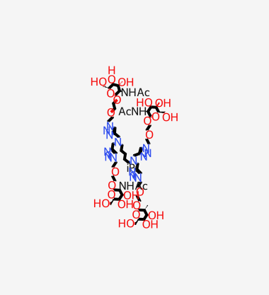 CC(=O)N[C@H]1[C@H](OCCOCCn2cc(CN(CCCCC(C(C)C)N(Cc3cn(CCOCCO[C@@H]4O[C@H](CO)[C@H](O)[C@H](O)[C@H]4C)nn3)Cc3cn(CCOCCO[C@@H]4O[C@H](CO)[C@H](O)[C@H](O)[C@H]4NC(C)=O)nn3)Cc3cn(CCOCCO[C@@H]4O[C@H](CO)[C@H](O)[C@H](O)[C@H]4NC(C)=O)nn3)nn2)O[C@H](CO)[C@H](O)[C@@H]1O